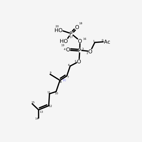 CC(=O)COP(=O)(OC/C=C(\C)CCC=C(C)C)OP(=O)(O)O